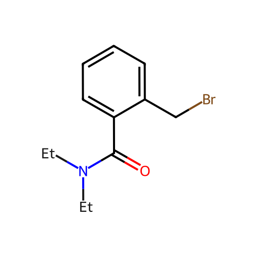 CCN(CC)C(=O)c1ccccc1CBr